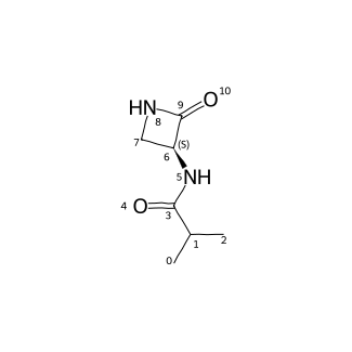 CC(C)C(=O)N[C@H]1CNC1=O